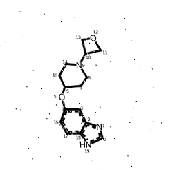 c1nc2cc(OC3CCN(C4COC4)CC3)ccc2[nH]1